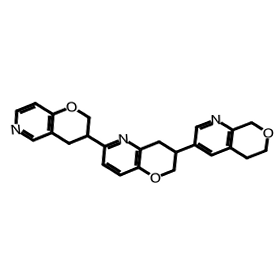 c1cc2c(cn1)CC(c1ccc3c(n1)CC(c1cnc4c(c1)CCOC4)CO3)CO2